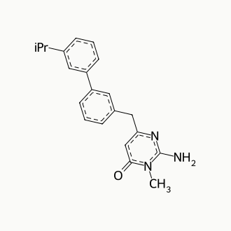 CC(C)c1cccc(-c2cccc(Cc3cc(=O)n(C)c(N)n3)c2)c1